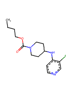 CCCCOC(=O)N1CCC(Nc2ccncc2F)CC1